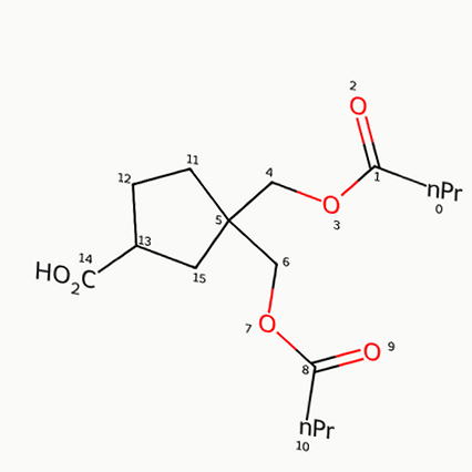 CCCC(=O)OCC1(COC(=O)CCC)CCC(C(=O)O)C1